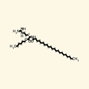 CCCCCCCCCCCCCCCCCCCCCC(=O)N[C@@H](CCCNC(=N)N)C(=O)OCCCCCC